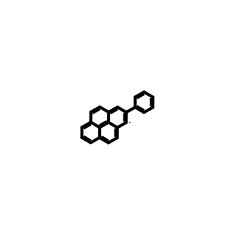 [c]1c(-c2ccccc2)cc2ccc3cccc4ccc1c2c43